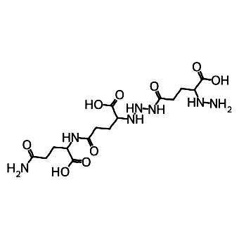 NNC(CCC(=O)NNNC(CCC(=O)NC(CCC(N)=O)C(=O)O)C(=O)O)C(=O)O